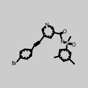 Cc1cc(C)cc(S(C)(=O)=NC(=O)c2cncc(C#Cc3ccc(Br)cc3)c2)c1